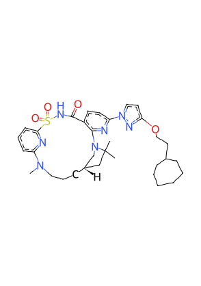 CN1CCC[C@@H]2CN(c3nc(-n4ccc(OCCC5CCCCCC5)n4)ccc3C(=O)NS(=O)(=O)c3cccc1n3)C(C)(C)C2